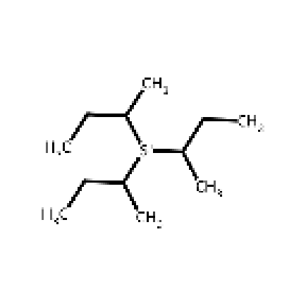 CCC(C)[S+](C(C)CC)C(C)CC